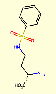 N[C@@H](CCNS(=O)(=O)c1ccccc1)C(=O)O